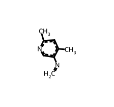 C=Nc1cnc(C)cc1C